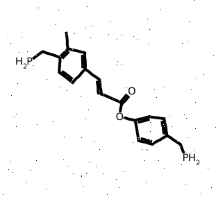 Cc1cc(/C=C/C(=O)Oc2ccc(CP)cc2)ccc1CP